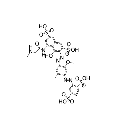 CNCC(=O)Nc1cc(S(=O)(=O)O)cc2cc(S(=O)(=O)O)c(N=Nc3cc(C)c(N=Nc4cc(S(=O)(=O)O)ccc4S(=O)(=O)O)cc3OC)c(O)c12